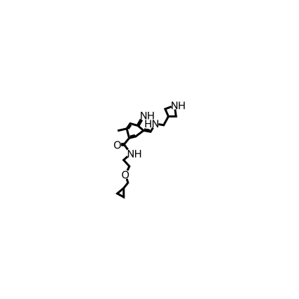 CC1=CC(=N)/C(=C\NCC2CNC2)C=C1C(=O)NCCOCC1CC1